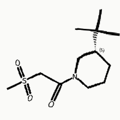 CC(C)(C)[C@@H]1CCCN(C(=O)CS(C)(=O)=O)C1